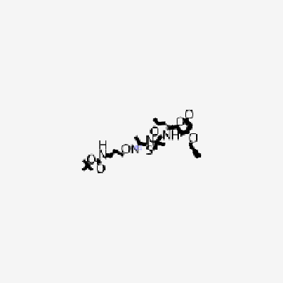 C#CCOc1cc([C@@H](CCC)NC(=O)C2(C)CSC(/C(C)=N/OCCCNC(=O)OC(C)(C)C)=N2)oc(=O)c1